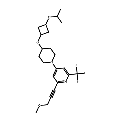 COCC#Cc1cc(N2CCC(OC3CC(OC(C)C)C3)CC2)cc(C(F)(F)F)n1